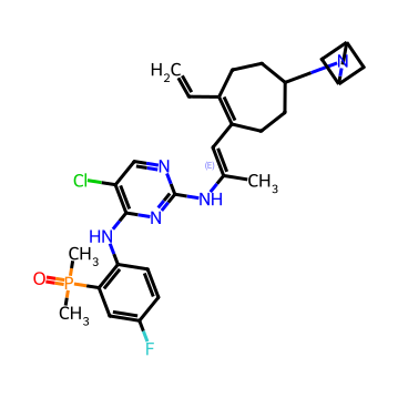 C=CC1=C(/C=C(\C)Nc2ncc(Cl)c(Nc3ccc(F)cc3P(C)(C)=O)n2)CCC(N2CC3CC2C3)CC1